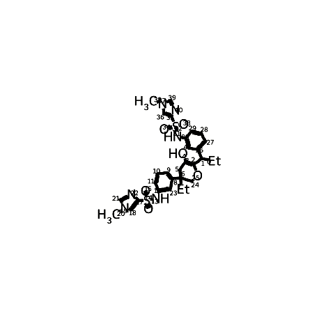 CCC(C1=C(O)CC(CC)(c2cccc(NS(=O)(=O)c3cn(C)cn3)c2)CO1)c1cccc(NS(=O)(=O)c2cn(C)cn2)c1